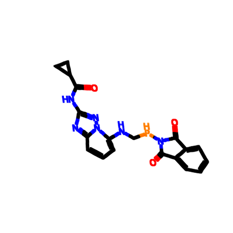 O=C(Nc1nc2cccc(NCPN3C(=O)c4ccccc4C3=O)n2n1)C1CC1